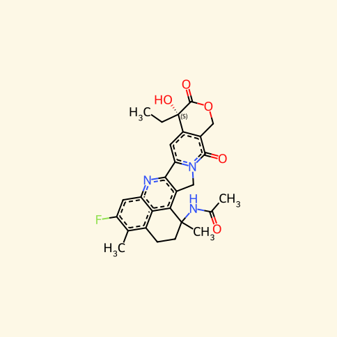 CC[C@@]1(O)C(=O)OCc2c1cc1n(c2=O)Cc2c-1nc1cc(F)c(C)c3c1c2C(C)(NC(C)=O)CC3